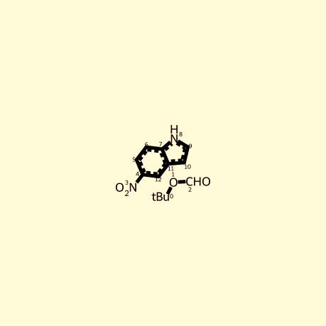 CC(C)(C)OC=O.O=[N+]([O-])c1ccc2[nH]ccc2c1